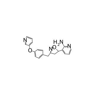 Nc1ncccc1C1CC(Cc2ccc(Oc3cccnc3)cc2)=NO1